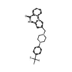 O=c1[nH]c2cc(CN3CCN(c4ccc(C(F)(F)F)cc4)CC3)cn2c2ccccc12